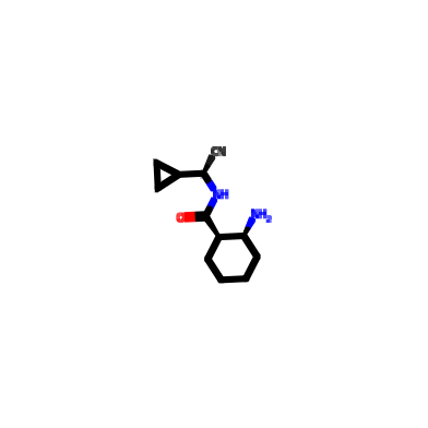 N#C[C@@H](NC(=O)[C@@H]1CCCC[C@@H]1N)C1CC1